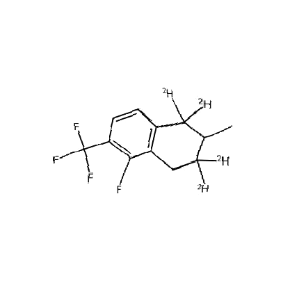 [2H]C1([2H])Cc2c(ccc(C(F)(F)F)c2F)C([2H])([2H])C1C